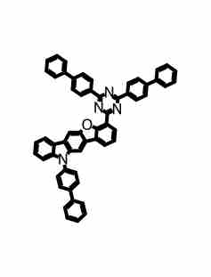 c1ccc(-c2ccc(-c3nc(-c4ccc(-c5ccccc5)cc4)nc(-c4cccc5c4oc4cc6c7ccccc7n(-c7ccc(-c8ccccc8)cc7)c6cc45)n3)cc2)cc1